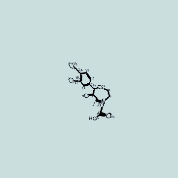 O=C1CN(C(=O)O)CCOC1c1ccc(Cl)c(Cl)c1